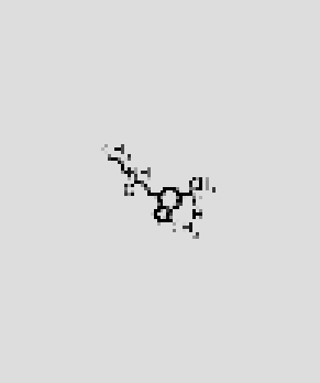 CCCCNC(=O)CCc1ccc(C(C)C)cc2c(C)ccc1-2